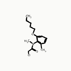 CCCCCOc1cccc(C)c1N(C)C(=O)CCl